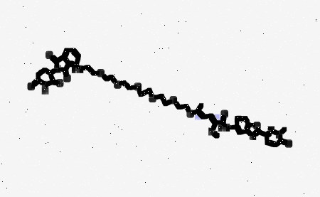 C=N/C(=C\C=C(/C)OCCOCCOCCOCCOCCOCCNc1cccc2c1C(=O)N(C1CCC(=O)NC1=O)C2=O)C(=O)Nc1ccc2oc(-c3ccc(=O)n(C)n3)nc2c1